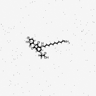 NCCCCCCCCCCNc1cccc2c1C(=O)N(C1CCC(=O)NC1=O)C2=O.O=C(O)C(F)(F)F